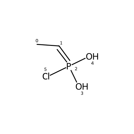 CC=P(O)(O)Cl